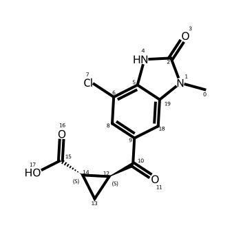 Cn1c(=O)[nH]c2c(Cl)cc(C(=O)[C@H]3C[C@@H]3C(=O)O)cc21